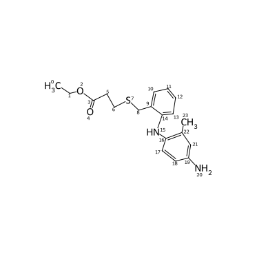 CCOC(=O)CCSCc1ccccc1Nc1ccc(N)cc1C